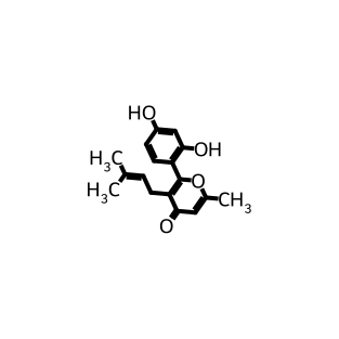 CC(C)=CCc1c(-c2ccc(O)cc2O)oc(C)cc1=O